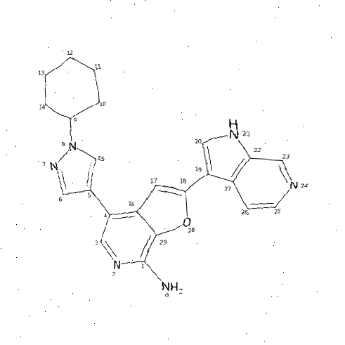 Nc1ncc(-c2cnn(C3CCCCC3)c2)c2cc(-c3c[nH]c4cnccc34)oc12